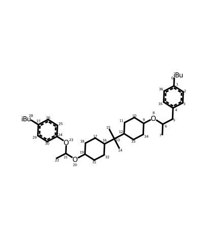 CCC(C)c1ccc(CC(C)OC2CCC(C(C)(C)C3CCC(OC(C)Oc4ccc(C(C)CC)cc4)CC3)CC2)cc1